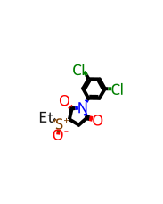 CC[S+]([O-])C1CC(=O)N(c2cc(Cl)cc(Cl)c2)C1=O